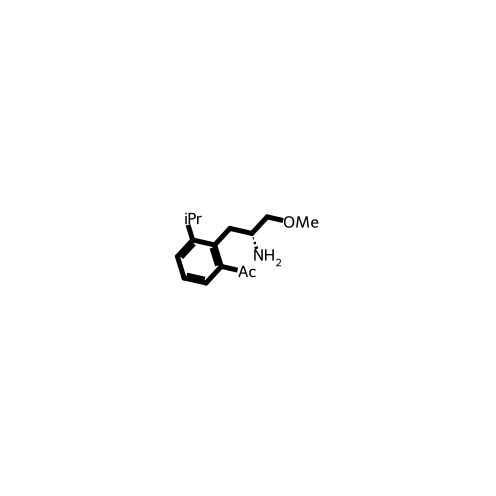 COC[C@H](N)Cc1c(C(C)=O)cccc1C(C)C